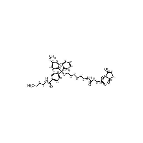 CCCCNC(=O)c1ccc(C(OCCCCCCNC(=O)CCC(=O)ON2C(=O)CCC2=O)(c2ccccc2)c2ccc(OC)cc2)cc1